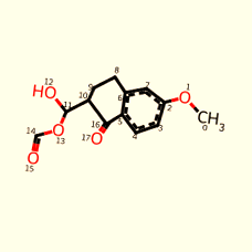 COc1ccc2c(c1)CCC(C(O)OC=O)C2=O